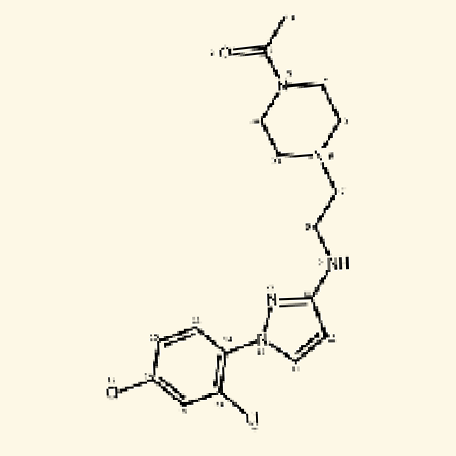 CC(=O)N1CCN(CCNc2ccn(-c3ccc(Cl)cc3Cl)n2)CC1